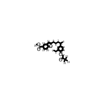 CCc1cc(C(C)CCCc2cc3cc(C(=O)OC)ccc3o2)ccc1OCC(=O)C(C)(C)C